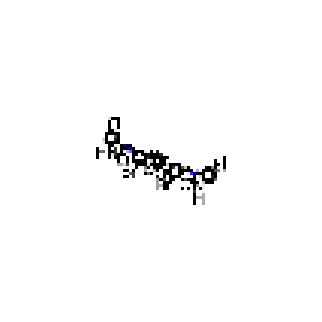 O=C(Oc1c(Br)cc(/C=C2\C(=O)Nc3ccc(Cl)cc32)cc1Br)Oc1c(Br)cc(/C=C2\C(=O)Nc3ccc(Cl)cc32)cc1Br